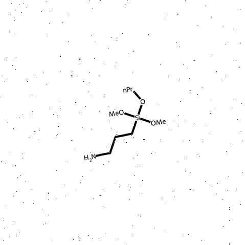 CCCO[Si](CCCN)(OC)OC